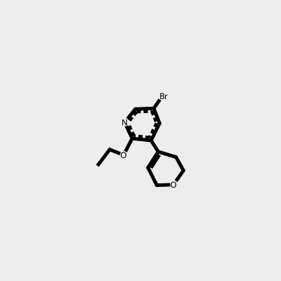 CCOc1ncc(Br)cc1C1=CCOCC1